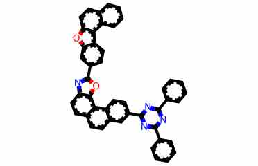 c1ccc(-c2nc(-c3ccccc3)nc(-c3ccc4c(ccc5ccc6nc(-c7ccc8c(c7)oc7ccc9ccccc9c78)oc6c54)c3)n2)cc1